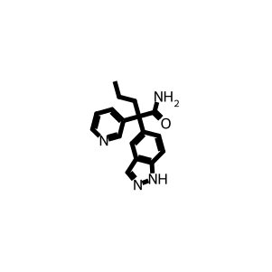 CCCC(C(N)=O)(c1cccnc1)c1ccc2[nH]ncc2c1